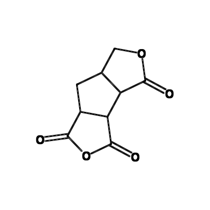 O=C1OC(=O)C2C1CC1COC(=O)C12